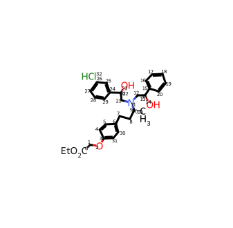 CCOC(=O)COc1ccc(CC[C@@H](C)N(C[C@H](O)c2ccccc2)C[C@H](O)c2ccccc2)cc1.Cl